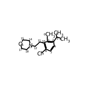 Cc1c(C(C)C)ccc(Cl)c1CCN1CCOCC1